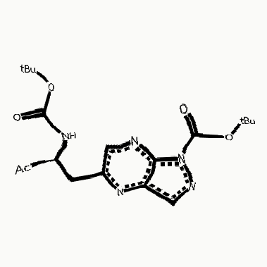 CC(=O)[C@H](Cc1cnc2c(cnn2C(=O)OC(C)(C)C)n1)NC(=O)OC(C)(C)C